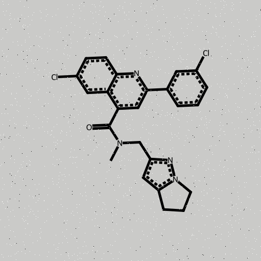 CN(Cc1cc2n(n1)CCC2)C(=O)c1cc(-c2cccc(Cl)c2)nc2ccc(Cl)cc12